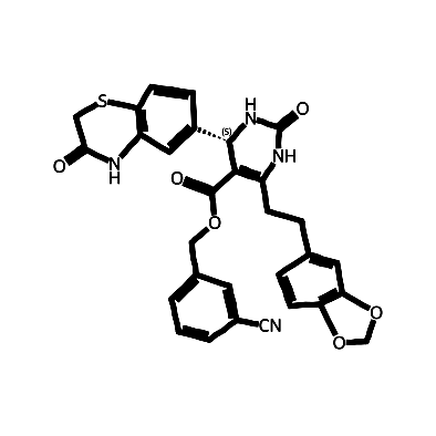 N#Cc1cccc(COC(=O)C2=C(CCc3ccc4c(c3)OCO4)NC(=O)N[C@H]2c2ccc3c(c2)NC(=O)CS3)c1